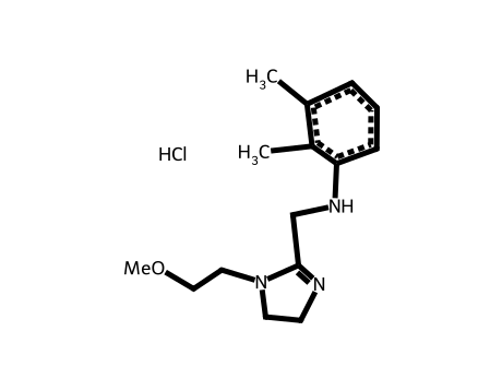 COCCN1CCN=C1CNc1cccc(C)c1C.Cl